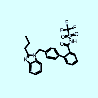 CCCc1nc2ccccc2n1Cc1ccc(-c2ccccc2C(=O)NS(=O)(=O)C(F)(F)F)cc1